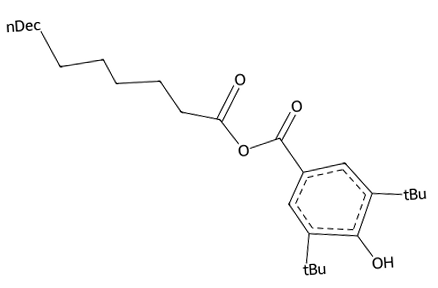 CCCCCCCCCCCCCCCC(=O)OC(=O)c1cc(C(C)(C)C)c(O)c(C(C)(C)C)c1